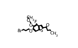 CCCC(=O)c1cc2c(F)c(OCOC)c(OCCCBr)cc2s1